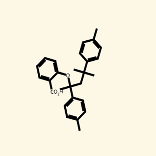 Cc1ccc(C(C)(C)CC(C)(Oc2ccccc2C(=O)O)c2ccc(C)cc2)cc1